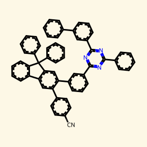 N#Cc1ccc(-c2cc3c(cc2-c2cccc(-c4nc(-c5ccccc5)nc(-c5cccc(-c6ccccc6)c5)n4)c2)C(c2ccccc2)(c2ccccc2)c2ccccc2-3)cc1